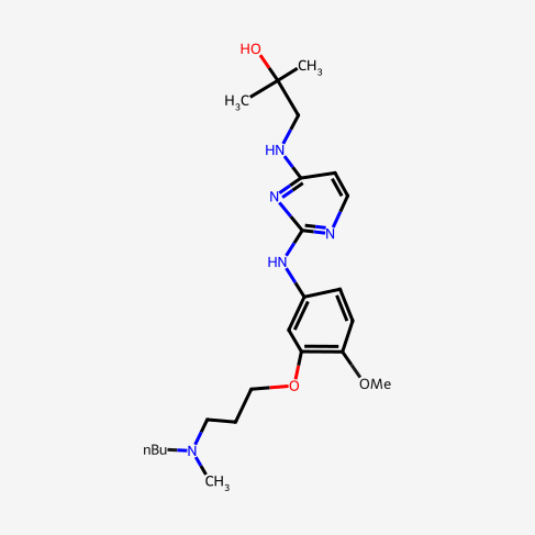 CCCCN(C)CCCOc1cc(Nc2nccc(NCC(C)(C)O)n2)ccc1OC